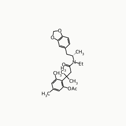 CCN(C(=O)CC(C)(C)c1c(C)cc(C)cc1OC(C)=O)[C@@H](C)Cc1ccc2c(c1)OCO2